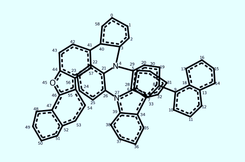 c1ccc(N(c2ccc(-c3cccc4ccccc34)cc2)c2ccccc2-n2c3ccccc3c3ccccc32)c(-c2ccc3oc4c5ccccc5ccc4c3c2)c1